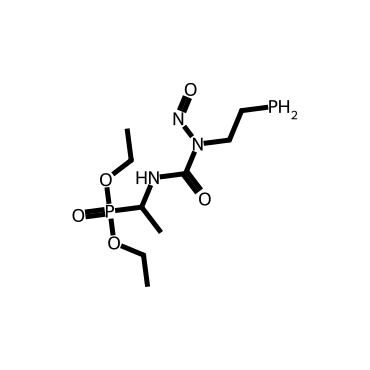 CCOP(=O)(OCC)C(C)NC(=O)N(CCP)N=O